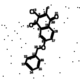 CC1=C(Cl)C(=O)c2cc(OCc3ccccc3)ccc2C1=O